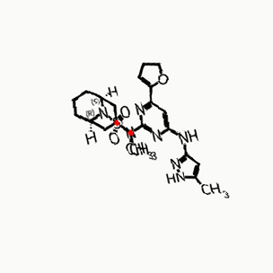 CCS(=O)(=O)N1[C@@H]2CCC[C@H]1C[C@H](N(C)c1nc(Nc3cc(C)[nH]n3)cc(C3=CCCO3)n1)C2